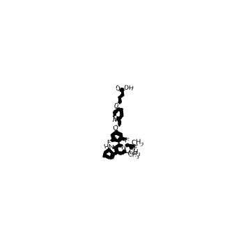 C[C@@H]1Cc2c([nH]c3ccccc23)[C@@H](c2c(F)cc(OCc3ccc(OCCCC(=O)O)cn3)cc2F)N1CC(C)(C)F